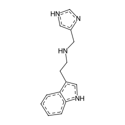 c1ccc2c(CCNCc3c[nH]cn3)c[nH]c2c1